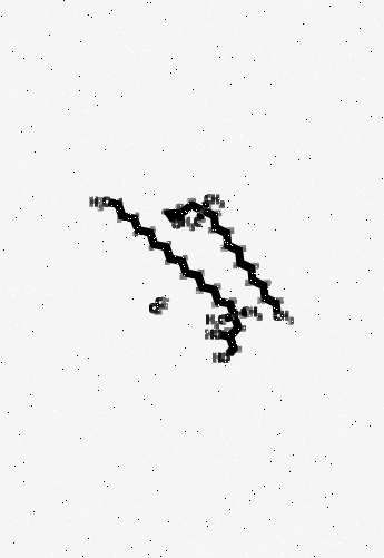 CCCCCCCCCCCCCCCC[N+](C)(C)CC(O)CO.CCCCCCCCCCCC[N+](C)(C)CC1CO1.[Cl-].[Cl-]